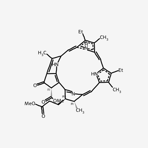 CCc1c2[nH]c(c1C)C=C1N=C(C3=C4NC(C=c5[nH]c(c(C)c5CC)=C2)C(C)=C4C(=O)[C@H]3C(=O)OC)[C@H](CCC(=O)OC)[C@H]1C